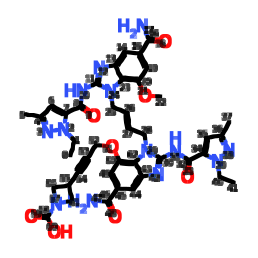 CCn1nc(C)cc1C(=O)Nc1nc2cc(C(N)=O)cc(OC)c2n1CC=CCn1c(NC(=O)c2cc(C)nn2CC)nc2cc(C(N)=O)cc(OCC#CC3CN(C(=O)O)C3)c21